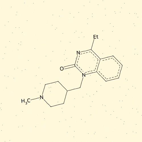 CCc1nc(=O)n(CC2CCN(C)CC2)c2ccccc12